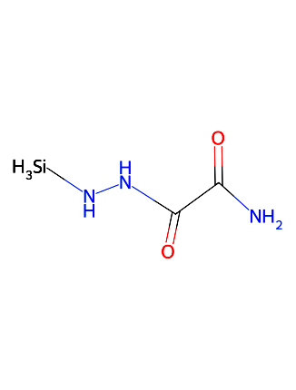 NC(=O)C(=O)NN[SiH3]